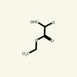 O=[C]C(Cl)C(=O)OCC(Cl)(Cl)Cl